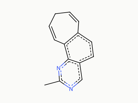 Cc1ncc2ccc3c(c2n1)C=CCC=C3